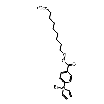 [CH2]CCCCCCCCCCCCCCCCCOOC(=O)c1ccc([Si](C=C)(C=C)CC)cc1